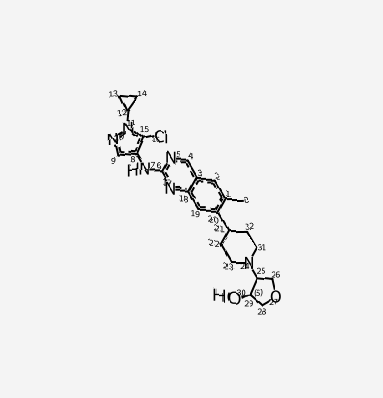 Cc1cc2cnc(Nc3cnn(C4CC4)c3Cl)nc2cc1C1CCN(C2COC[C@H]2O)CC1